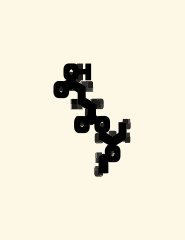 C=COC(CC)COC(=O)CCCC(=O)O